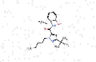 CCCCCn1nc(C(C)(C)C)cc1C(=O)N[C@@]1(CC)C=CC=CC1O